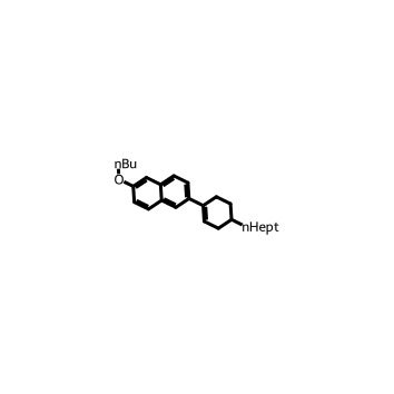 CCCCCCCC1CC=C(c2ccc3cc(OCCCC)ccc3c2)CC1